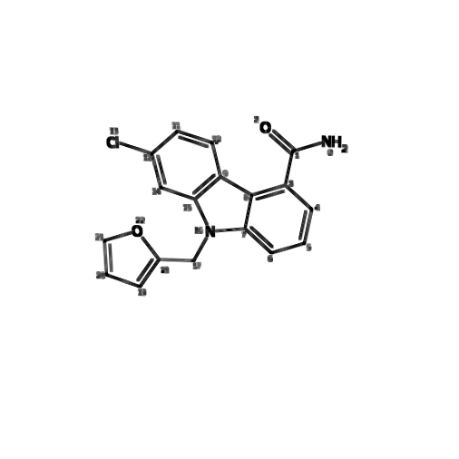 NC(=O)c1cccc2c1c1[c]cc(Cl)cc1n2Cc1ccco1